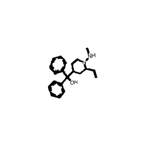 CCC1CC(C(O)(c2ccccc2)c2ccccc2)CCN1NC